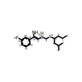 CCCC(CC(C)C)SCN/C=C(\N)c1cccc(F)c1